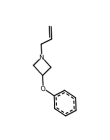 C=CCN1CC(Oc2ccccc2)C1